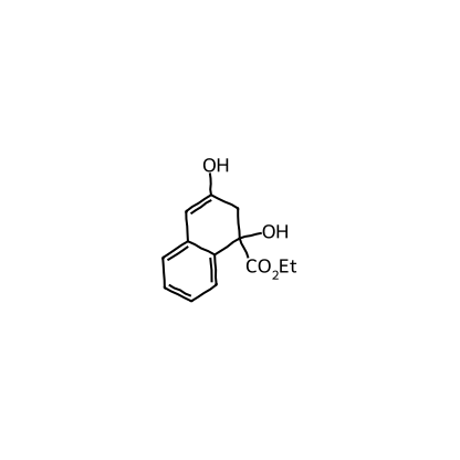 CCOC(=O)C1(O)CC(O)=Cc2ccccc21